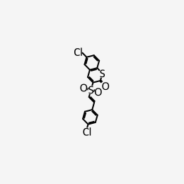 O=c1sc2ccc(Cl)cc2cc1S(=O)(=O)C=Cc1ccc(Cl)cc1